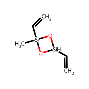 C=C[SiH]1O[Si](C)(C=C)O1